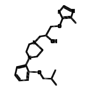 Cc1ncsc1OCC(O)CN1CCN(c2ccccc2OCC(C)C)CC1